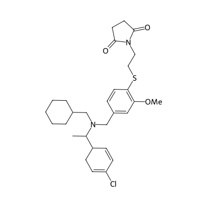 COc1cc(CN(CC2CCCCC2)C(C)C2C=CC(Cl)=CC2)ccc1SCCN1C(=O)CCC1=O